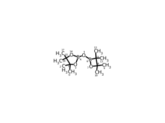 CC1(C)OB(OB2OC(C)(C)C2(C)C)OC1(C)C